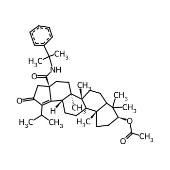 CC(=O)O[C@H]1CC[C@@]2(C)C(CC[C@]3(C)C2CC[C@@H]2C4=C(C(C)C)C(=O)C[C@]4(C(=O)NC(C)(C)c4ccccc4)CC[C@]23C)C1(C)C